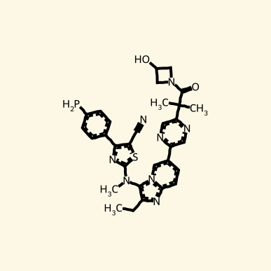 CCc1nc2ccc(-c3cnc(C(C)(C)C(=O)N4CC(O)C4)cn3)cn2c1N(C)c1nc(-c2ccc(P)cc2)c(C#N)s1